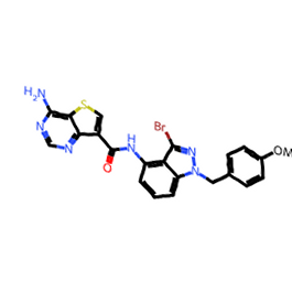 COc1ccc(Cn2nc(Br)c3c(NC(=O)c4csc5c(N)ncnc45)cccc32)cc1